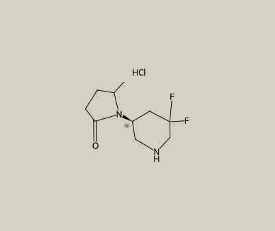 CC1CCC(=O)N1[C@@H]1CNCC(F)(F)C1.Cl